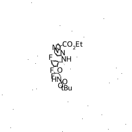 CCOC(=O)c1cnn2ccc(N[C@H](C)c3cc(F)ccc3OC(CNC(=O)OC(C)(C)C)C(F)F)nc12